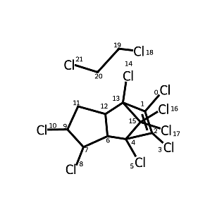 ClC1=C(Cl)C2(Cl)C3C(Cl)C(Cl)CC3C1(Cl)C2(Cl)Cl.ClCCCl